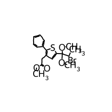 COC(=O)Cc1cc(C(OC)(OC)C(C)Br)sc1-c1ccccc1